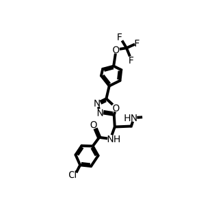 CNCC(NC(=O)c1ccc(Cl)cc1)c1nnc(-c2ccc(OC(F)(F)F)cc2)o1